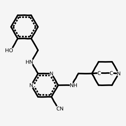 N#Cc1cnc(NCc2ccccc2O)nc1NCC12CCN(CC1)CC2